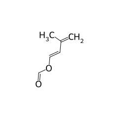 C=C(C)C=COC=O